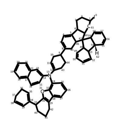 IC1CCC2C3=CC=C(C4CC=C(N(c5ccc6ccccc6c5)c5cccc6c7c(oc56)C(C5=CCCC=C5)CCC7)CC4)CC3C3(C4C=CC=CC4[C@H]4C=CC=CC43)C2C1